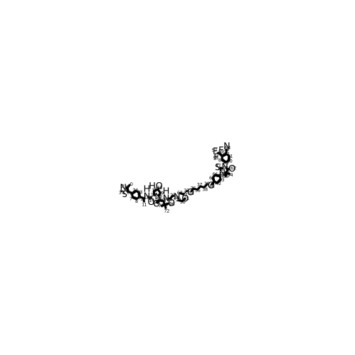 Cc1ncsc1-c1ccc(C(C)NC(=O)[C@@H]2C[C@@H](O)CN2C(=O)C(NC(=O)CN2CCO[C@H](COCCCCCOc3ccc(N4C(=S)N(c5ccc(C#N)c(C(F)(F)F)c5)C(=O)C4(C)C)cc3)C2)C(C)(C)C)cc1